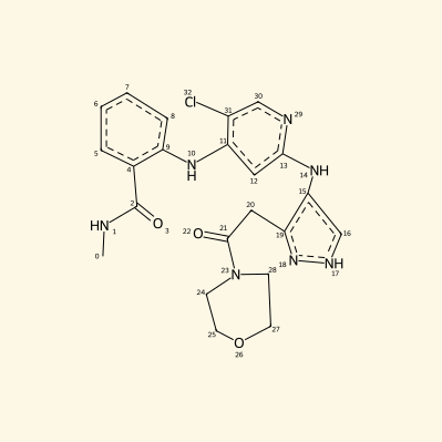 CNC(=O)c1ccccc1Nc1cc(Nc2c[nH]nc2CC(=O)N2CCOCC2)ncc1Cl